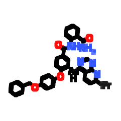 CC(C)c1ccc2c([AsH]c3cc(C(=O)Nc4ccccc4C(N)=O)ccc3Oc3ccc(OCc4ccccc4)cc3)ncnc2n1